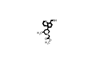 COC(=O)CN1CC(C)CC(c2ccc(C=N)c3ncccc23)C1